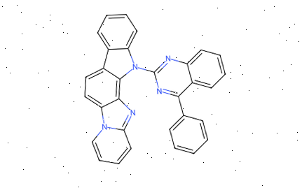 c1ccc(-c2nc(-n3c4ccccc4c4ccc5c(nc6ccccn65)c43)nc3ccccc23)cc1